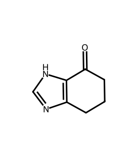 O=C1CCCc2nc[nH]c21